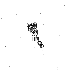 COc1ccc(NCCCN(C[C@@H](C=O)NC(=O)OC(C)(C)C)C(=O)OC(C)(C)C)cc1